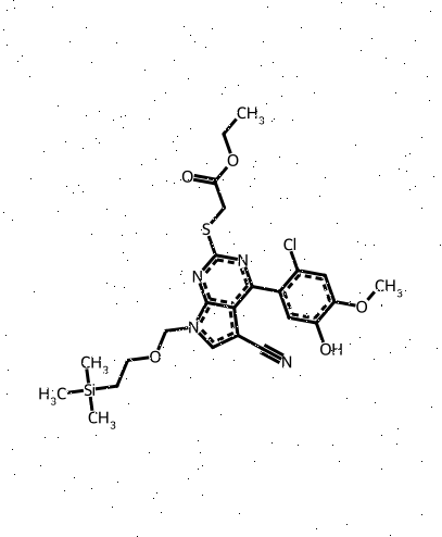 CCOC(=O)CSc1nc(-c2cc(O)c(OC)cc2Cl)c2c(C#N)cn(COCC[Si](C)(C)C)c2n1